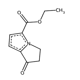 CCOC(=O)c1ccc2n1CCC2=O